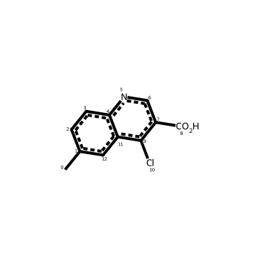 Cc1ccc2ncc(C(=O)O)c(Cl)c2c1